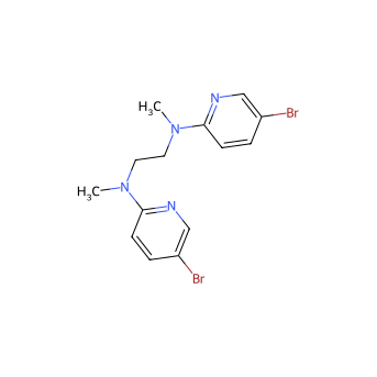 CN(CCN(C)c1ccc(Br)cn1)c1ccc(Br)cn1